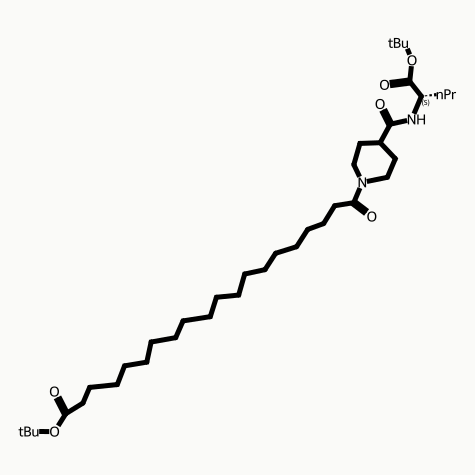 CCC[C@H](NC(=O)C1CCN(C(=O)CCCCCCCCCCCCCCCCCCC(=O)OC(C)(C)C)CC1)C(=O)OC(C)(C)C